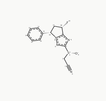 N#CC[S@@+]([O-])c1nc2n(n1)[C@H](c1ccccc1)C[C@@H]2F